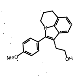 COc1ccc(-c2c(CCO)c3cccc4c3n2CCC4)cc1